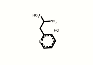 Cl.NC(Cc1ccccn1)C(=O)O